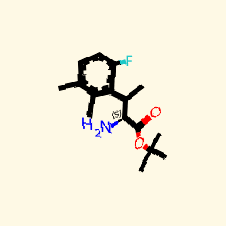 Cc1ccc(F)c(C(C)[C@H](N)C(=O)OC(C)(C)C)c1C